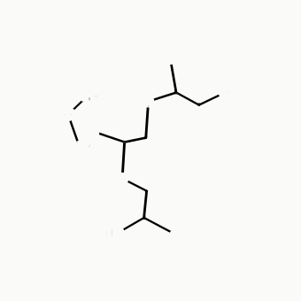 CC(O)COC(C)COC(C)CO.CCCCOCCC